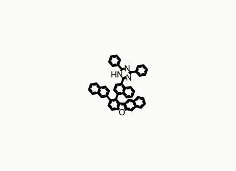 c1ccc(C2=NC(c3ccccc3)NC(c3ccc(-c4c(-c5ccc6ccccc6c5)ccc5oc6cc7ccccc7cc6c45)c4ccccc34)=N2)cc1